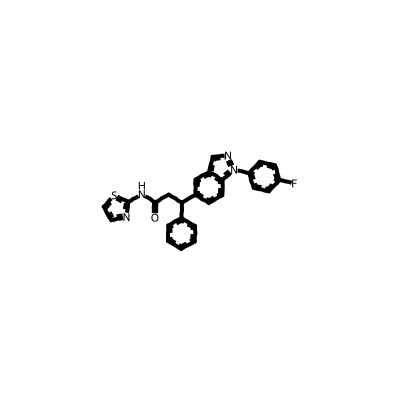 O=C(CC(c1ccccc1)c1ccc2c(cnn2-c2ccc(F)cc2)c1)Nc1nccs1